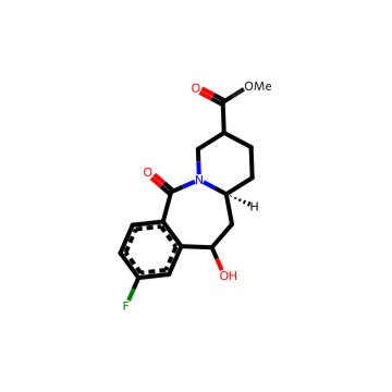 COC(=O)C1CC[C@H]2CC(O)c3cc(F)ccc3C(=O)N2C1